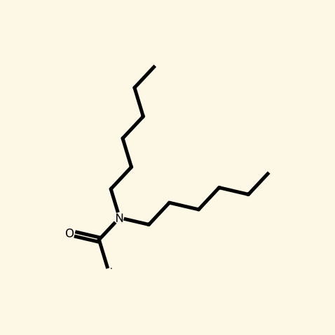 [CH2]C(=O)N(CCCCCC)CCCCCC